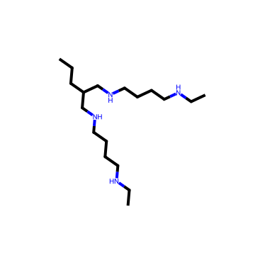 CCCC(CNCCCCNCC)CNCCCCNCC